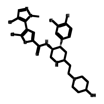 Cn1ncc(Cl)c1-c1cc(C(=O)N[C@@H]2CNC(CCN3CCC(O)CC3)C[C@H]2c2ccc(Cl)c(Cl)c2)oc1Cl